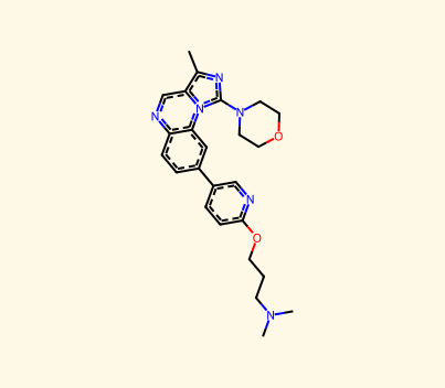 Cc1nc(N2CCOCC2)n2c1cnc1ccc(-c3ccc(OCCCN(C)C)nc3)cc12